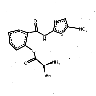 CC[C@H](C)[C@H](N)C(=O)Oc1ccccc1C(=O)Nc1ncc([N+](=O)[O-])s1